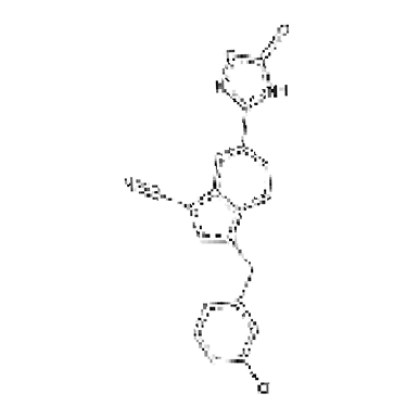 N#Cc1cn(Cc2cccc(Cl)c2)c2ccc(-c3noc(=O)[nH]3)cc12